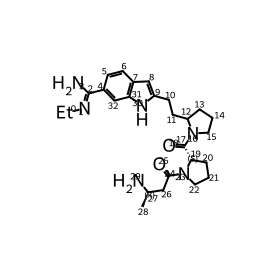 CCN=C(N)c1ccc2cc(CCC3CCCN3C(=O)[C@@H]3CCCN3C(=O)C[C@@H](C)N)[nH]c2c1